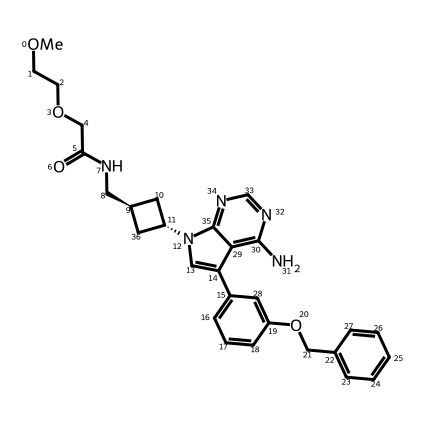 COCCOCC(=O)NC[C@H]1C[C@H](n2cc(-c3cccc(OCc4ccccc4)c3)c3c(N)ncnc32)C1